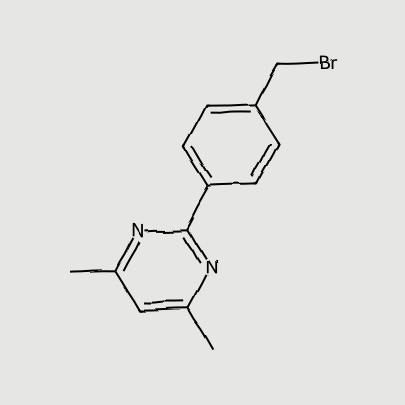 Cc1cc(C)nc(-c2ccc(CBr)cc2)n1